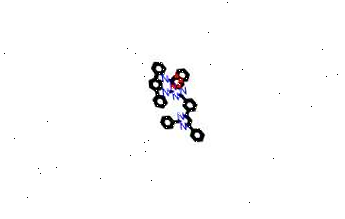 c1ccc(-c2cc(-c3cccc(-c4nc(-c5ccccc5)nc(-n5c6ccccc6c6ccc7c8ccccc8n(-c8ccccc8)c7c65)n4)c3)nc(-c3ccccc3)n2)cc1